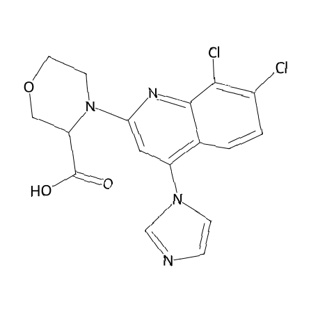 O=C(O)C1COCCN1c1cc(-n2ccnc2)c2ccc(Cl)c(Cl)c2n1